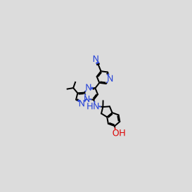 CC(C)c1cnn2c(NC3(C)Cc4ccc(O)cc4C3)cc(-c3cncc(C#N)c3)nc12